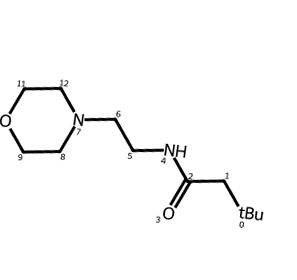 CC(C)(C)CC(=O)NCCN1CCOCC1